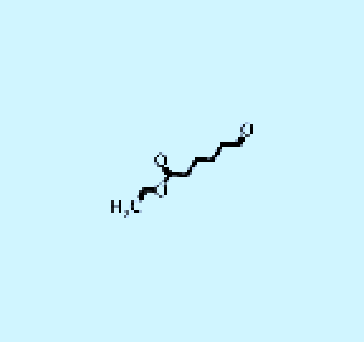 C=COC(=O)CCCCC=O